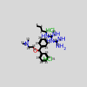 CCCCNC(=N)NC(=N)N.CN(C)CCOC(c1ccccc1)c1ccccc1.Cl.Cl